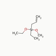 C=CC[Si](CC)(OC)OCC